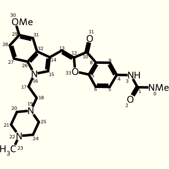 CNC(=O)Nc1ccc2c(c1)C(=O)C(=Cc1cn(CCN3CCN(C)CC3)c3ccc(OC)cc13)O2